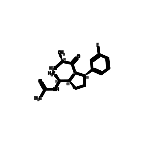 CC(=O)N[C@@H](C)[C@H]1CC[C@@H](c2cccc(F)c2)N1C(=O)[C@@H](C)N